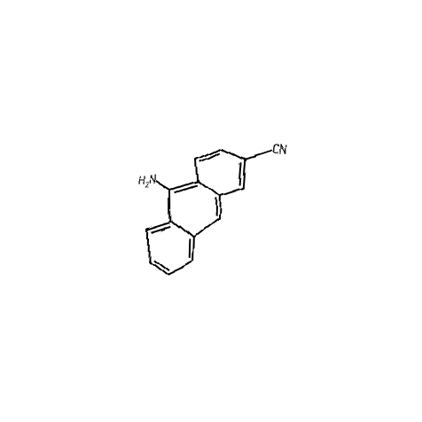 N#Cc1ccc2c(N)c3ccccc3cc2c1